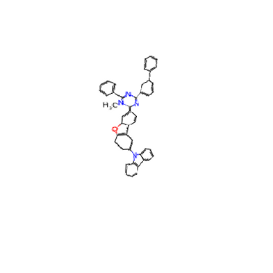 CN1C(c2ccccc2)=NC(C2=CC=CC(c3ccccc3)C2)=NC1C1=CC2OC3=C(CC(n4c5c(c6ccccc64)C=CCC5)CC3)C2C=C1